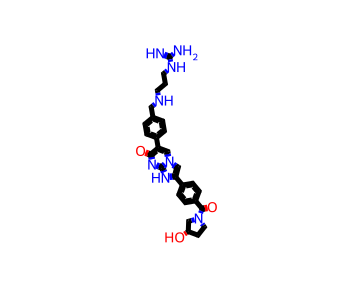 N=C(N)NCCCNCc1ccc(-c2cn3cc(-c4ccc(C(=O)N5CCC(O)C5)cc4)[nH]c3nc2=O)cc1